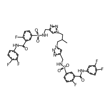 CC(Cn1cc(CNS(=O)(=O)c2ccc(F)c(C(=O)Nc3ccc(F)c(F)c3)c2)nn1)Cn1cc(CNS(=O)(=O)c2ccc(F)c(C(=O)Nc3ccc(F)c(F)c3)c2)nn1